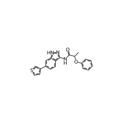 CC(Oc1ccccc1)C(=O)Nc1n[nH]c2cc(-c3ccsc3)ccc12